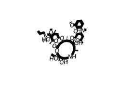 CCCNC[C@]1(O)[C@H](C)O[C@@H](O[C@H]2[C@H](C)[C@@H](O[C@@H]3O[C@H](C)C[C@H](NC)[C@H]3Oc3ccccc3OC)[C@](C)(O)C[C@@H](C)CN[C@H](C)[C@@H](O)[C@](C)(O)[C@@H](CC)OC(=O)[C@@H]2C)C[C@@]1(C)OC